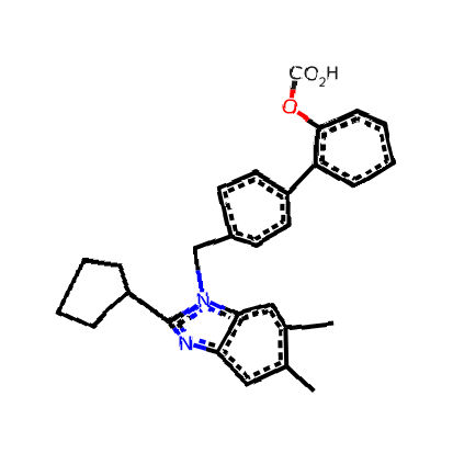 Cc1cc2nc(C3CCCC3)n(Cc3ccc(-c4ccccc4OC(=O)O)cc3)c2cc1C